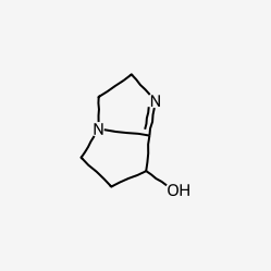 OC1CCN2CCN=C12